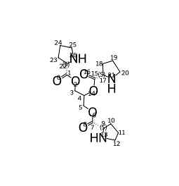 O=C(OCC(COC(=O)[C@@H]1CCCN1)OC(=O)[C@@H]1CCCN1)[C@@H]1CCCN1